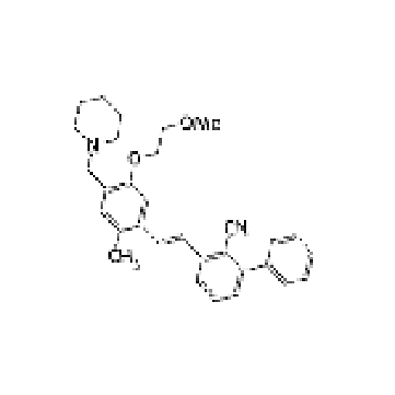 COCCOc1cc(/C=C/c2cccc(-c3ccccc3)c2C#N)c(C)cc1CN1CCCCC1